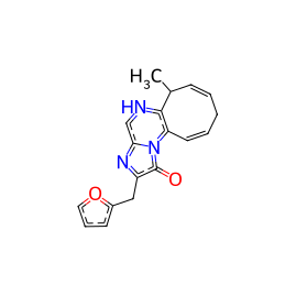 CC1C=CCC=Cc2c1[nH]cc1nc(Cc3ccco3)c(=O)n2-1